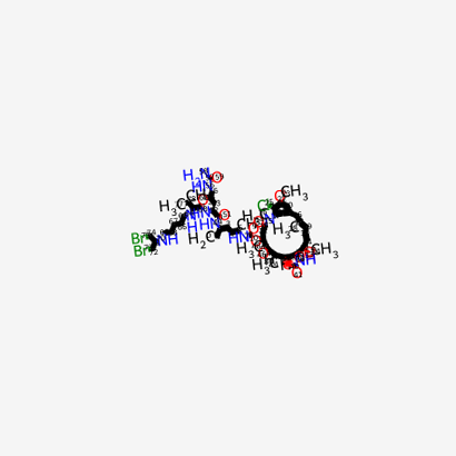 C=C/C(=C\C=C(/C)NC(=O)O[C@H]1CC(=O)N(C)c2cc(cc(OC)c2Cl)C/C(C)=C/C=C/[C@@H](OC)[C@@]2(O)C[C@H](OC(=O)N2)[C@@H](C)[C@@H]2O[C@@]12C)NC(=O)[C@H](CCCNC(N)=O)NC(=O)[C@@H](NCCCCCNC(CBr)CBr)C(C)C